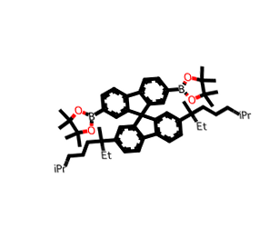 CCC(C)(CCCC(C)C)c1ccc2c(c1)C1(c3cc(B4OC(C)(C)C(C)(C)O4)ccc3-c3ccc(B4OC(C)(C)C(C)(C)O4)cc31)c1cc(C(C)(CC)CCCC(C)C)ccc1-2